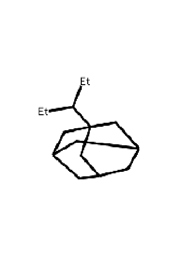 CCC(CC)C12CC3CC(CC(C3)C1)C2